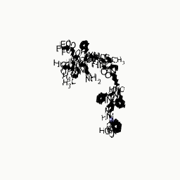 CC(C)C[C@H](NC(=O)[C@H](CCCN)NC(=O)[C@H](CCc1ccccc1)NC(=O)CNC(=O)[C@H](CC(C)C)NC(=O)[C@@H]1CCCN1C(=O)CCCCCNC(=O)[C@@H](Cc1ccccc1)NC(=O)[C@@H](Cc1ccccc1)NC(=O)c1ccc(N/N=C/c2ccccc2S(=O)(=O)O)nc1)C(=O)N[C@@H](CCC(=O)O)C(=O)N[C@@H](CCC(=O)OC(=O)C(F)(F)F)C(=O)O